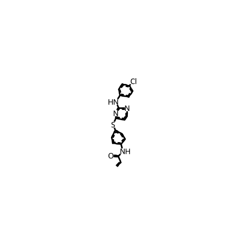 C=CC(=O)Nc1ccc(Sc2ccnc(Nc3ccc(Cl)cc3)n2)cc1